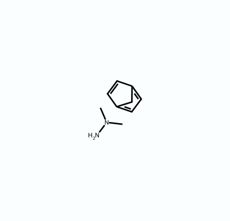 C1=CC2=CC=C1C2.CN(C)N